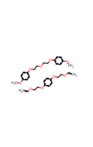 C=COCCOc1ccc(OCCOC=C)cc1.COc1ccc(OCCOCCOc2ccc(OC)cc2)cc1